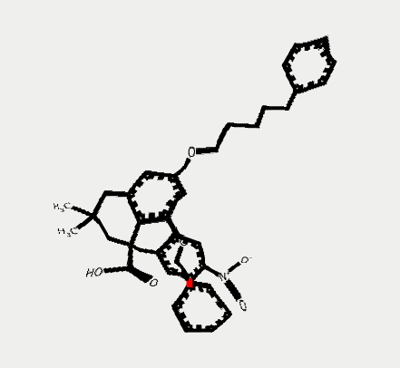 CC1(C)Cc2cc(OCCCCCc3ccccc3)cc(OCc3ccccc3)c2C(C(=O)O)(c2ccc([N+](=O)[O-])cc2)C1